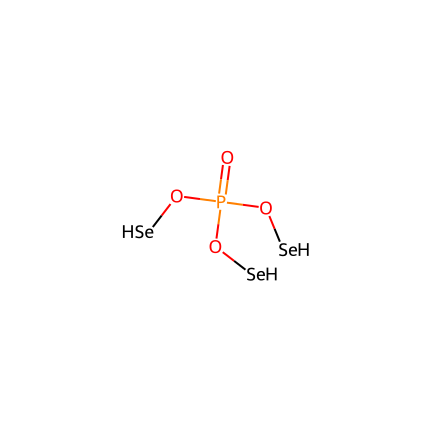 O=P(O[SeH])(O[SeH])O[SeH]